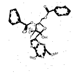 CSc1nc(SC)c2ncc(C3(O)O[C@H](COC(=O)c4ccccc4)[C@@H](OC(=O)c4ccccc4)[C@@]3(C)F)n2n1